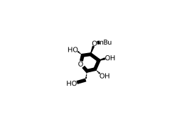 CCCCO[C@H]1[C@@H](O)[C@H](O)[C@H](CO)O[C@@H]1O